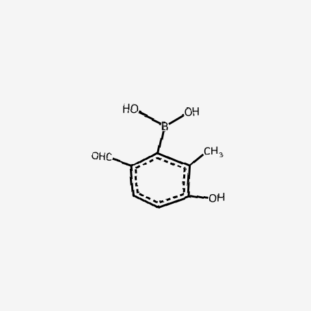 Cc1c(O)ccc(C=O)c1B(O)O